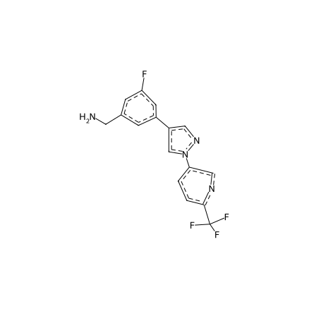 NCc1cc(F)cc(-c2cnn(-c3ccc(C(F)(F)F)nc3)c2)c1